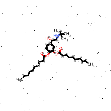 CCCCCCCCCC(=O)Oc1ccc(C(O)CNC(C)(C)C)cc1OC(=O)CCCCCCCCC